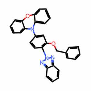 c1ccc(COc2cc(N3c4ccccc4Oc4ccccc43)ccc2-n2nc3ccccc3n2)cc1